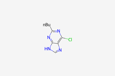 CCCCc1nc(Cl)c2nc[nH]c2n1